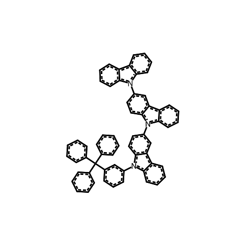 c1ccc(C(c2ccccc2)(c2ccccc2)c2cccc(-n3c4ccccc4c4cc(-n5c6ccccc6c6cc(-n7c8ccccc8c8ccccc87)ccc65)ccc43)c2)cc1